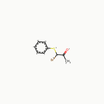 CC(=O)C(Br)Sc1ccccc1